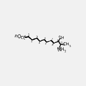 CCCCCCCCCCCCCCCCC(O)C(C)N